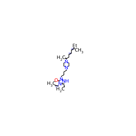 C=C[C@@H]1NN(CCCCN2CCN(C(=C)C/C=C/C=C(\C)CC)CC2)C(=O)N1/C=C\C